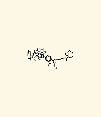 Cc1cc(B2OC(C)(C)C(C)(C)O2)ccc1OCCCOC1CCCCO1